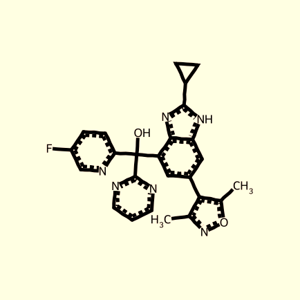 Cc1noc(C)c1-c1cc(C(O)(c2ccc(F)cn2)c2ncccn2)c2nc(C3CC3)[nH]c2c1